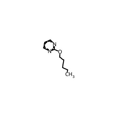 CCCCCOc1ncccn1